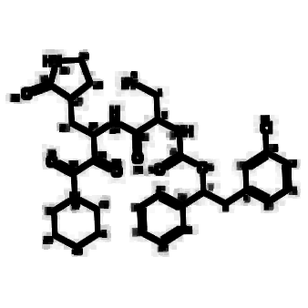 CC(C)CC(NC(=O)OC(Cc1cccc(Cl)c1)c1ccccc1)C(=O)NC(CC1CCNC1=O)C(=O)C(=O)N1CCCCC1